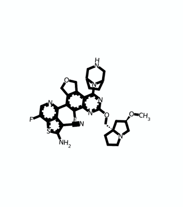 CO[C@H]1CN2CCC[C@@]2(COc2nc(N3C4CCC3CNC4)c3c4c(c(-c5ncc(F)c6sc(N)c(C#N)c56)c(F)c3n2)COC4)C1